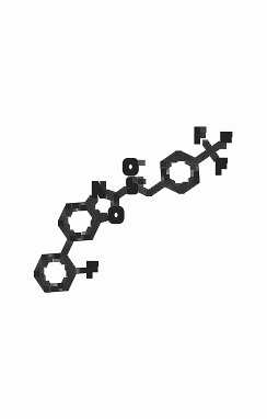 [O-][S+](Cc1ccc(C(F)(F)F)cc1)c1nc2ccc(-c3ccccc3F)cc2o1